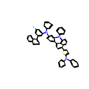 Fc1cc(-c2cccc3ccccc23)cc(N(c2ccccc2)c2ccc3c(c2)N(c2ccccc2)c2cccc4c(-c5ccc(N(c6ccccc6)c6ccccc6)s5)ccc-3c24)c1